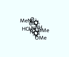 CNS(=O)(=O)c1cccc(Nc2ncnc3cc(OC)cc(OC)c23)c1.Cl